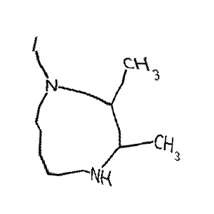 CC1NCCN(I)C1C